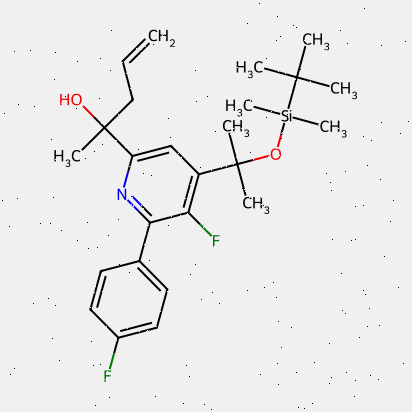 C=CCC(C)(O)c1cc(C(C)(C)O[Si](C)(C)C(C)(C)C)c(F)c(-c2ccc(F)cc2)n1